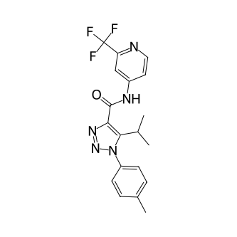 Cc1ccc(-n2nnc(C(=O)Nc3ccnc(C(F)(F)F)c3)c2C(C)C)cc1